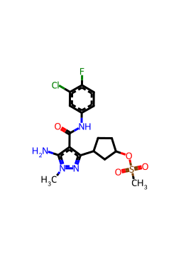 Cn1nc(C2CCC(OS(C)(=O)=O)C2)c(C(=O)Nc2ccc(F)c(Cl)c2)c1N